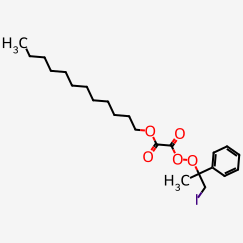 CCCCCCCCCCCCOC(=O)C(=O)OOC(C)(CI)c1ccccc1